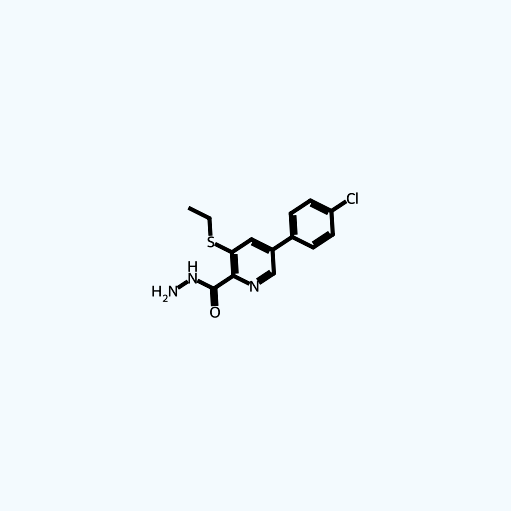 CCSc1cc(-c2ccc(Cl)cc2)cnc1C(=O)NN